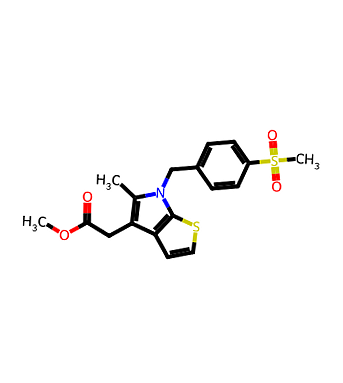 COC(=O)Cc1c(C)n(Cc2ccc(S(C)(=O)=O)cc2)c2sccc12